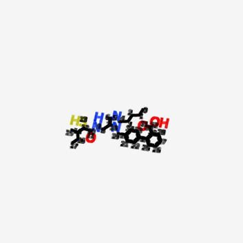 CCCCc1ncc(CNC(=O)C(S)C(C)CC)n1Cc1ccc(-c2ccccc2C(=O)O)cc1